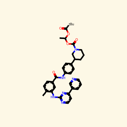 Cc1ccc(C(=O)Nc2ccc(C3CCCN(C(=O)OC(C)OC(=O)C(C)(C)C)C3)cc2)cc1Nc1nccc(-c2cccnc2)n1